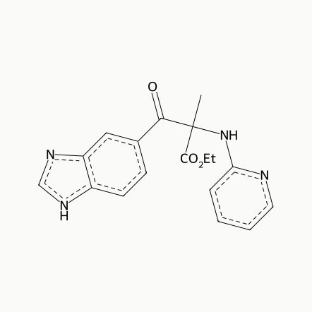 CCOC(=O)C(C)(Nc1ccccn1)C(=O)c1ccc2[nH]cnc2c1